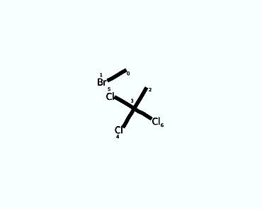 CBr.CC(Cl)(Cl)Cl